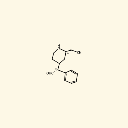 N#CC[C@H]1CC([C@@H](C=O)c2ccccc2)CCN1